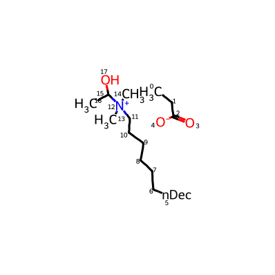 CCC(=O)[O-].CCCCCCCCCCCCCCCC[N+](C)(C)C(C)O